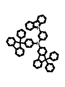 c1ccc(C2(c3ccc(N(c4cccc(-n5c6ccccc6c6ccccc65)c4)c4ccc5c(c4)-c4ccccc4C5(c4ccccc4)c4ccccc4)cc3)c3ccccc3-c3ccccc32)cc1